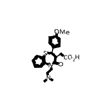 COc1ccc([C@@H]2Sc3ccccc3N(CCN(C)C)C(=O)[C@@H]2CC(=O)O)cc1